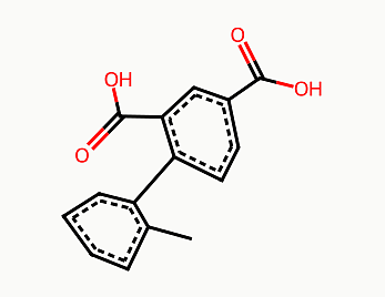 Cc1ccccc1-c1ccc(C(=O)O)cc1C(=O)O